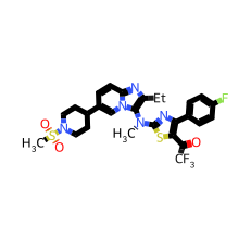 CCc1nc2ccc(C3CCN(S(C)(=O)=O)CC3)cn2c1N(C)c1nc(-c2ccc(F)cc2)c(C(=O)C(F)(F)F)s1